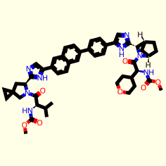 COC(=O)N[C@H](C(=O)N1CC2(CC2)C[C@H]1c1ncc(-c2ccc3cc(-c4ccc(-c5cnc([C@@H]6[C@H]7CC[C@H](C7)N6C(=O)[C@@H](NC(=O)OC)C6CCOCC6)[nH]5)cc4)ccc3c2)[nH]1)C(C)C